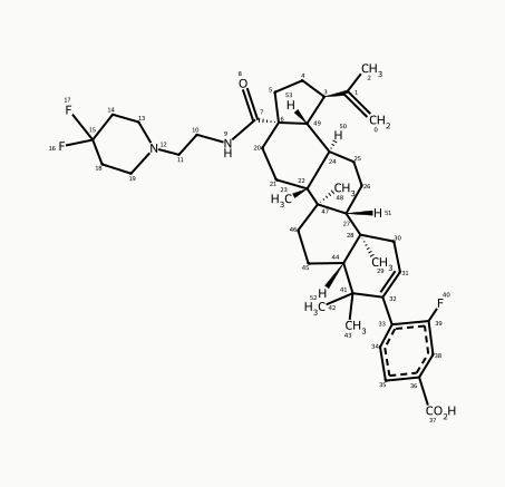 C=C(C)[C@@H]1CC[C@]2(C(=O)NCCN3CCC(F)(F)CC3)CC[C@]3(C)[C@H](CC[C@@H]4[C@@]5(C)CC=C(c6ccc(C(=O)O)cc6F)C(C)(C)[C@@H]5CC[C@]43C)[C@@H]12